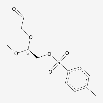 CO[C@H](COS(=O)(=O)c1ccc(C)cc1)OCC=O